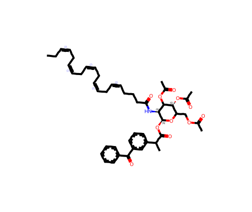 CC/C=C\C/C=C\C/C=C\C/C=C\C/C=C\CCCC(=O)N[C@H]1C(OC(C)=O)[C@H](OC(C)=O)C(COC(C)=O)O[C@H]1OC(=O)C(C)c1cccc(C(=O)c2ccccc2)c1